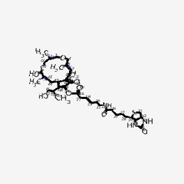 C/C1=C/CC/C(C)=C/CC2(C)C(=O)C(OC(=O)CCCCCNC(=O)CCCCC3SCC4NC(=O)NC43)=C(C(C)CO)C2C/C=C(\C)C(O)CC1